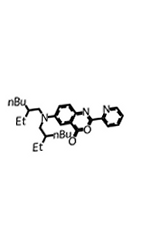 CCCCC(CC)CN(CC(CC)CCCC)c1ccc2nc(-c3ccccn3)oc(=O)c2c1